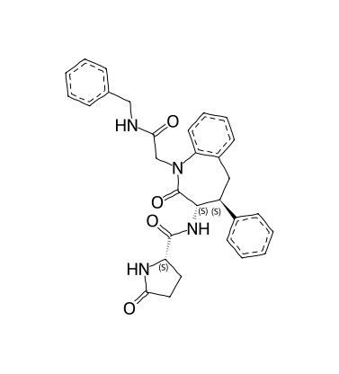 O=C(CN1C(=O)[C@@H](NC(=O)[C@@H]2CCC(=O)N2)[C@H](c2ccccc2)Cc2ccccc21)NCc1ccccc1